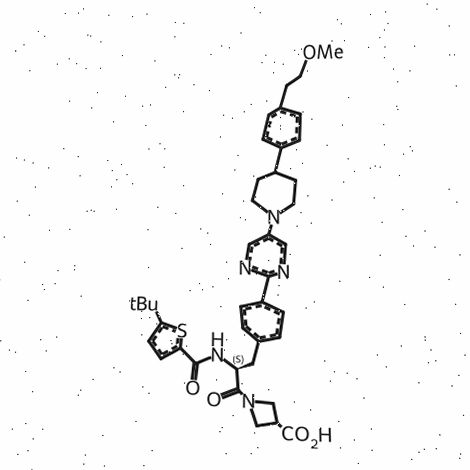 COCCc1ccc(C2CCN(c3cnc(-c4ccc(C[C@H](NC(=O)c5ccc(C(C)(C)C)s5)C(=O)N5CC(C(=O)O)C5)cc4)nc3)CC2)cc1